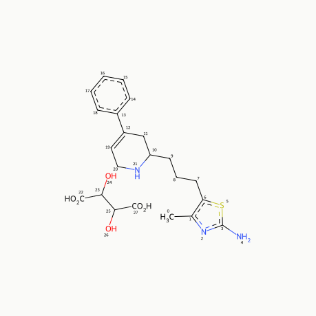 Cc1nc(N)sc1CCCC1CC(c2ccccc2)=CCN1.O=C(O)C(O)C(O)C(=O)O